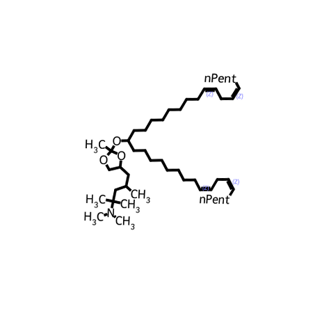 CCCCC/C=C\C/C=C\CCCCCCCCC(CCCCCCCC/C=C\C/C=C\CCCCC)OC1(C)OCC(CC(C)CC(C)(C)N(C)C)O1